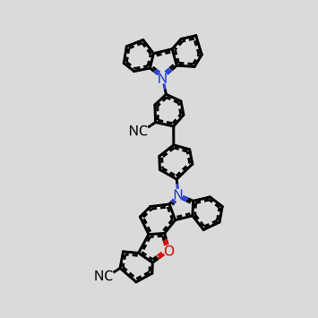 N#Cc1ccc2oc3c(ccc4c3c3ccccc3n4-c3ccc(-c4ccc(-n5c6ccccc6c6ccccc65)cc4C#N)cc3)c2c1